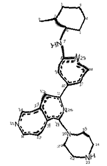 CC1CCCCC1Nc1cc(-c2cc3cnccc3c(N3CCNCC3)n2)ccn1